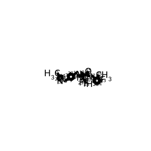 Cc1cnn(Cc2ccc(Cn3cc(C(=O)NCc4cccc(F)c4C)c(C(F)(F)F)n3)cc2)c1